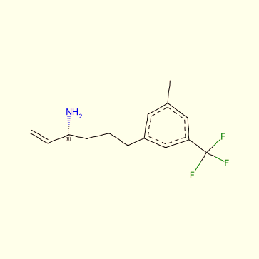 C=C[C@H](N)CCCc1cc(C)cc(C(F)(F)F)c1